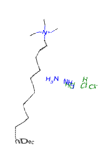 CCCCCCCCCCCCCCCCCC[N+](C)(C)C.Cl.Cl.N.N.[Cl-]